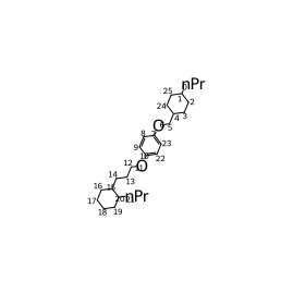 CCCC1CCC(COc2ccc(OCCCC3CCCCC3CCC)cc2)CC1